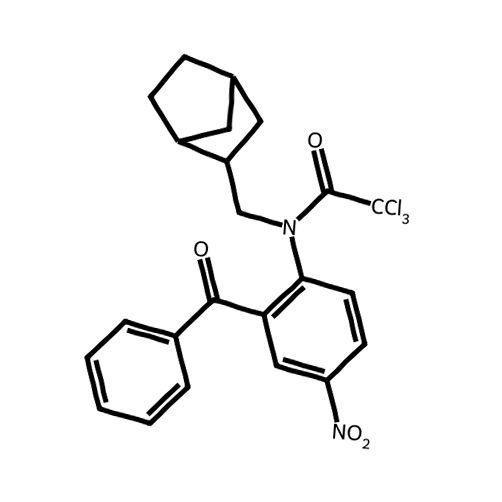 O=C(c1ccccc1)c1cc([N+](=O)[O-])ccc1N(CC1CC2CCC1C2)C(=O)C(Cl)(Cl)Cl